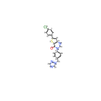 O=c1c2sc(-c3ccc(Cl)cc3)cc2ncn1-c1ccc(Cn2cncn2)cc1